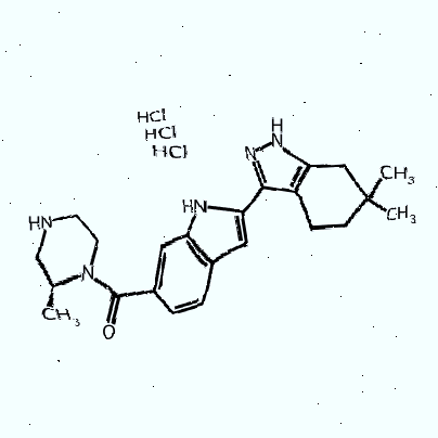 C[C@H]1CNCCN1C(=O)c1ccc2cc(-c3n[nH]c4c3CCC(C)(C)C4)[nH]c2c1.Cl.Cl.Cl